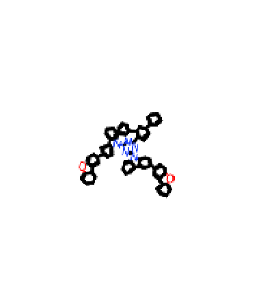 c1ccc(-c2ccc(-c3nc(-n4c5ccccc5c5cc(-c6ccc7oc8ccccc8c7c6)ccc54)nc(-n4c5ccccc5c5cc(-c6ccc7oc8ccccc8c7c6)ccc54)n3)c(-c3ccccc3)c2)cc1